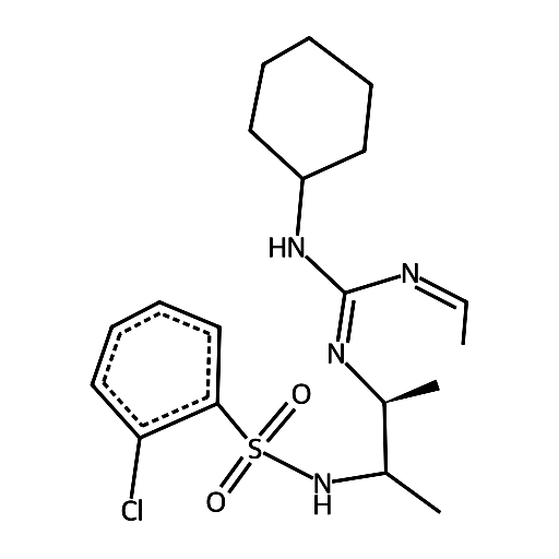 C/C=N\C(=N/[C@@H](C)C(C)NS(=O)(=O)c1ccccc1Cl)NC1CCCCC1